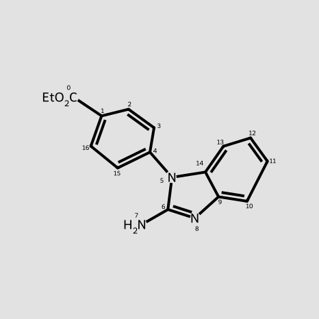 CCOC(=O)c1ccc(-n2c(N)nc3ccccc32)cc1